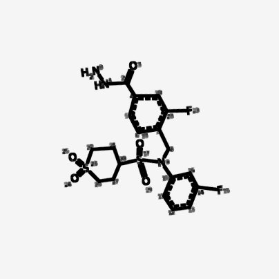 NNC(=O)c1ccc(CN(c2cccc(F)c2)S(=O)(=O)C2CCS(=O)(=O)CC2)c(F)c1